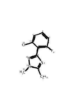 Cc1nc(-c2c(F)cccc2Cl)nn1C